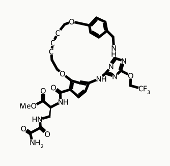 COC(=O)[C@H](CNC(=O)C(N)=O)NC(=O)c1ccc2cc1OCCCCCCOc1ccc(cc1)CNc1nc(nc(OCC(F)(F)F)n1)N2